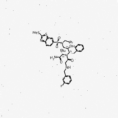 CSc1nc2ccc(S(=O)(=O)N(CC(C)C)C[C@@H](O)[C@H](Cc3ccccc3)N(C(=O)CNCc3cccc(F)c3)[C@H](C(N)=O)C(C)(C)C)cc2s1